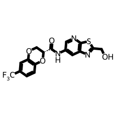 O=C(Nc1cnc2sc(CO)nc2c1)[C@H]1COc2cc(C(F)(F)F)ccc2O1